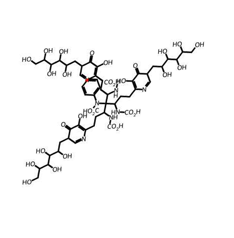 O=C(O)NC(CCC1=C(O)C(=O)C(CC(O)C(O)C(O)C(O)CO)C=N1)C(C(CCC1=C(O)C(=O)C(CC(O)C(O)C(O)C(O)CO)C=N1)NC(=O)O)(C(CCC1=C(O)C(=O)C(CC(O)C(O)C(O)C(O)CO)C=N1)NC(=O)O)N(C(=O)O)c1ccccc1